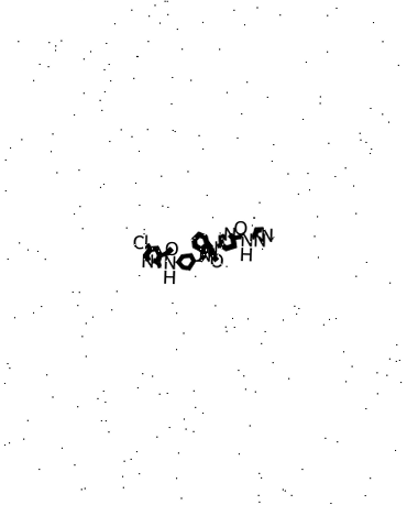 Cc1ncc(Cl)cc1C(=O)N[C@H]1CC[C@H](Cn2c(=O)n(-c3ccc(C(=O)Nc4ccn(C)n4)nc3)c3ccccc32)CC1